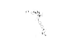 C[C@H](C(=O)OCC(=O)c1ccc(-c2ccc(C(=O)COC(=O)[C@@H](NC(=O)OC(C)(C)C)C3(C)CC3)cc2)cc1)C1(C)CC1